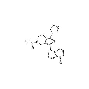 CC(=O)N1CCc2c(c(-c3cccc4c3ccc[n+]4[O-])nn2C2CCOC2)C1